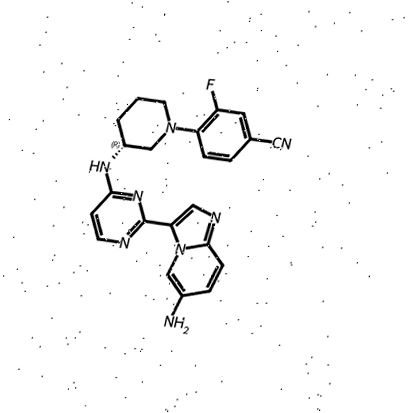 N#Cc1ccc(N2CCC[C@@H](Nc3ccnc(-c4cnc5ccc(N)cn45)n3)C2)c(F)c1